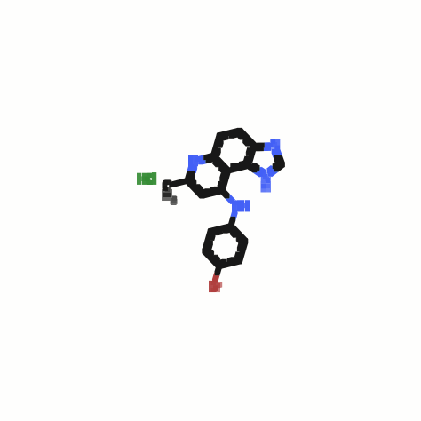 Cc1cc(Nc2ccc(Br)cc2)c2c(ccc3nc[nH]c32)n1.Cl